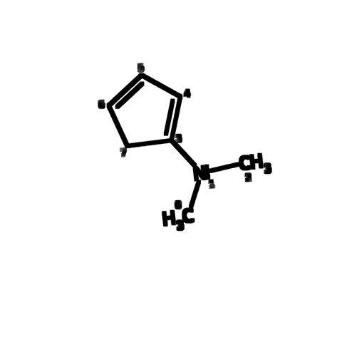 [CH3][Ni]([CH3])[C]1=CC=CC1